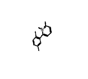 Cc1ccc(C)c(-c2cccc(C)[n+]2C)c1